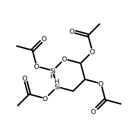 CC(=O)OC1C[SiH](OC(C)=O)[SiH](OC(C)=O)OC1OC(C)=O